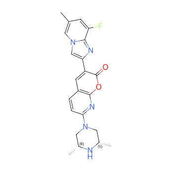 Cc1cc(F)c2nc(-c3cc4ccc(N5C[C@@H](C)N[C@@H](C)C5)nc4oc3=O)cn2c1